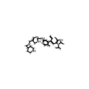 C=C/C(=C\C1=C(C)NC(C)N1C(C)C)c1cc(NC2=NC=C(CN3CC4CCNCC43)CN2)ncc1F